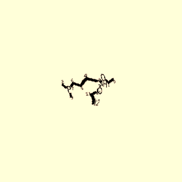 CCO[SiH](CCCP(C)C)OCC